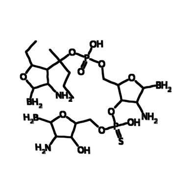 BC1OC(COP(O)(=S)OC2C(COP(=O)(O)OC(C)(CCC)C3C(CC)OC(B)C3N)OC(B)C2N)C(O)C1N